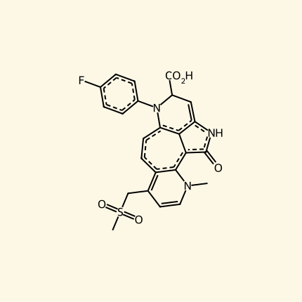 CN1C=CC(CS(C)(=O)=O)=c2ccc3c4c([nH]c(=O)c-4c21)=CC(C(=O)O)N3c1ccc(F)cc1